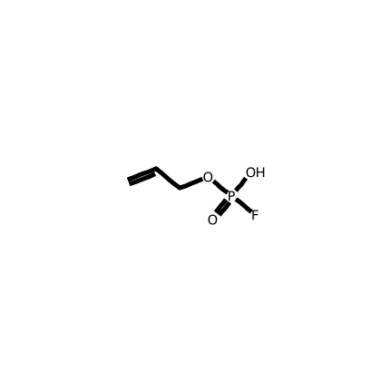 C=CCOP(=O)(O)F